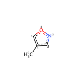 Cc1[c]noc1